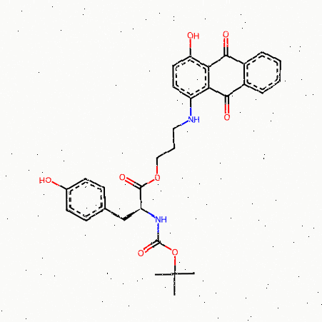 CC(C)(C)OC(=O)N[C@@H](Cc1ccc(O)cc1)C(=O)OCCCNc1ccc(O)c2c1C(=O)c1ccccc1C2=O